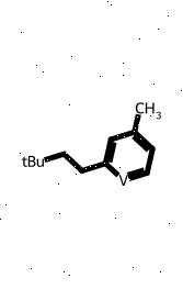 CC1=C[CH]=[V][C](CCC(C)(C)C)=C1